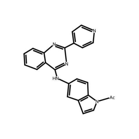 CC(=O)n1ccc2cc(Nc3nc(-c4ccncc4)nc4ccccc34)ccc21